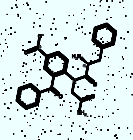 NC(=O)CN(C(=O)[C@@H](N)Cc1ccccc1)c1ccc([N+](=O)[O-])cc1C(=O)c1ccccc1